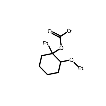 CCOC1CCCCC1(CC)OC([O])=O